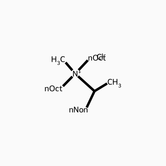 CCCCCCCCCC(C)[N+](C)(CCCCCCCC)CCCCCCCC.[Cl-]